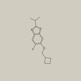 CC(C)c1nc2cc(F)c(OCC3CCC3)cc2s1